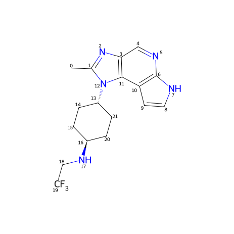 Cc1nc2cnc3[nH]ccc3c2n1[C@H]1CC[C@H](NCC(F)(F)F)CC1